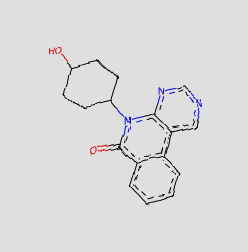 O=c1c2ccccc2c2cncnc2n1C1CCC(O)CC1